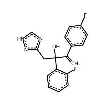 C=C(c1ccc(F)cc1)C(O)(Cc1nc[nH]n1)c1ccccc1F